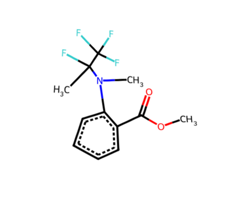 COC(=O)c1ccccc1N(C)C(C)(F)C(F)(F)F